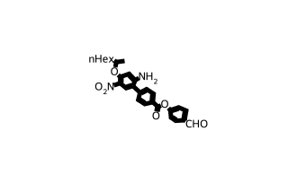 CCCCCCC(C)Oc1cc(N)c(-c2ccc(C(=O)Oc3ccc(C=O)cc3)cc2)cc1[N+](=O)[O-]